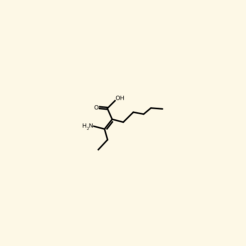 CCCCC/C(C(=O)O)=C(/N)CC